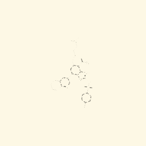 Cc1ccc(S(=O)(=O)Oc2nc3c(-c4cnc5c(c4)CCCO5)cc(OCCCN(C)C)c(C(N)=O)c3[nH]2)cc1